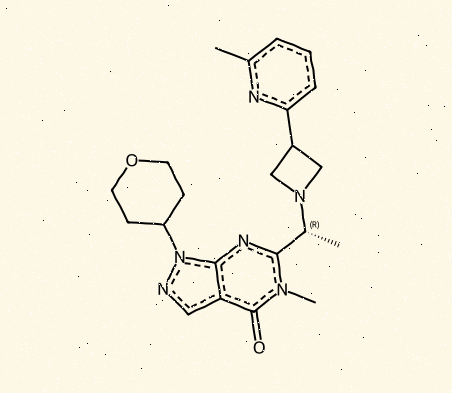 Cc1cccc(C2CN([C@H](C)c3nc4c(cnn4C4CCOCC4)c(=O)n3C)C2)n1